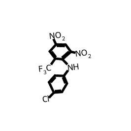 O=[N+]([O-])c1cc([N+](=O)[O-])c(Nc2ccc(Cl)cc2)c(C(F)(F)F)c1